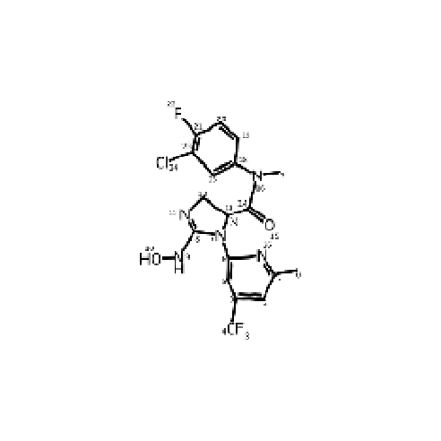 Cc1cc(C(F)(F)F)cc(N2C(NO)=NC[C@H]2C(=O)N(C)c2ccc(F)c(Cl)c2)n1